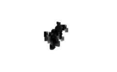 Cc1cc(NC(=O)c2c(C)c(C(=O)C(=O)NC3CCSCC3)n(C)c2C)ccc1F